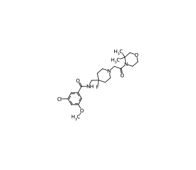 COc1cc(Cl)cc(C(=O)NCC2(F)CCN(CC(=O)N3CCOCC3(C)C)CC2)c1